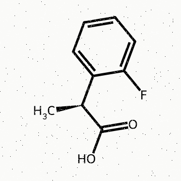 C[C@H](C(=O)O)c1ccccc1F